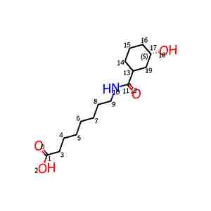 O=C(O)CCCCCCCNC(=O)C1CCC[C@H](O)C1